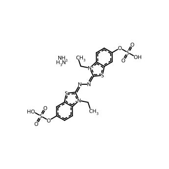 CCn1c(=NN=c2sc3cc(OS(=O)(=O)O)ccc3n2CC)sc2cc(OS(=O)(=O)O)ccc21.N.N